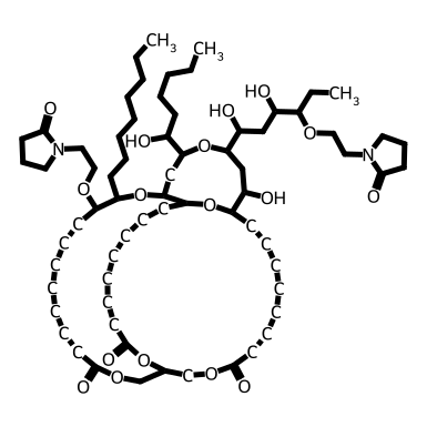 CCCCCCCCC1OC2CC(C(O)CCCCC)OC(C(O)CC(O)C(CC)OCCN3CCCC3=O)CC(O)C3CCCCCCCC(=O)OCC(COC(=O)CCCCCCCC1OCCN1CCCC1=O)OC(=O)CCCCCCCC2O3